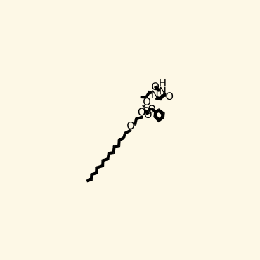 CCCCCCCCCCCCCCCCOCCCOP(=O)(COC(C)Cn1ccc(=O)[nH]c1=O)Oc1ccccc1